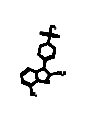 CC1=CC=CC2C1NC(C(=O)O)C2C1=CCC(S(C)(=O)=O)CC1